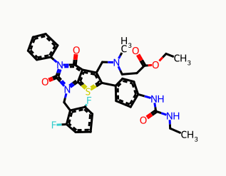 CCNC(=O)Nc1ccc(-c2sc3c(c2CN(C)CCC(=O)OCC)c(=O)n(-c2ccccc2)c(=O)n3Cc2c(F)cccc2F)cc1